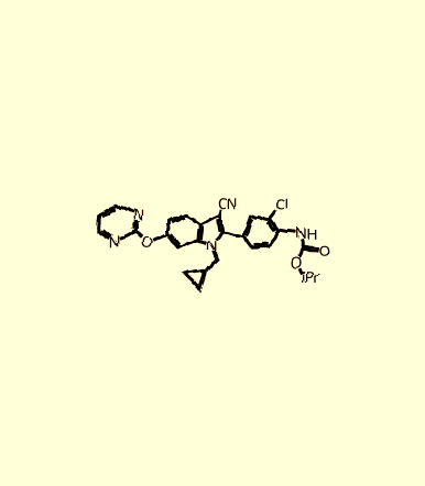 CC(C)OC(=O)Nc1ccc(-c2c(C#N)c3ccc(Oc4ncccn4)cc3n2CC2CC2)cc1Cl